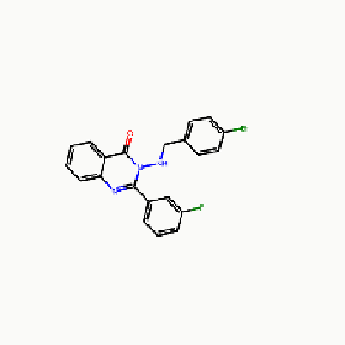 O=c1c2ccccc2nc(-c2cccc(F)c2)n1NCc1ccc(Br)cc1